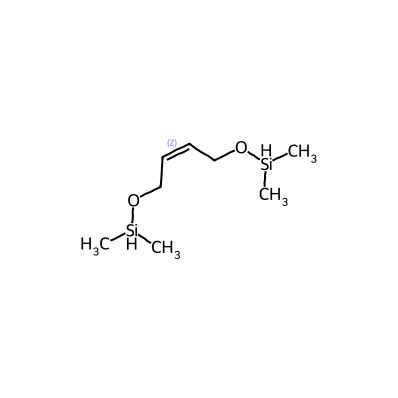 C[SiH](C)OC/C=C\CO[SiH](C)C